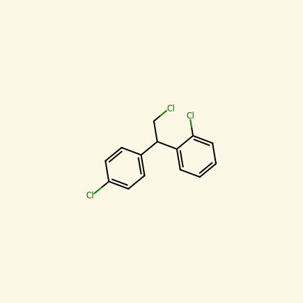 ClCC(c1ccc(Cl)cc1)c1ccccc1Cl